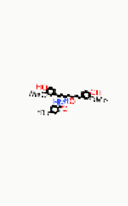 COc1cc(C=CC(=O)CC(C=Cc2ccc(O)c(OC)c2)=NNC(=O)c2ccc(C(C)(C)C)cc2)ccc1O